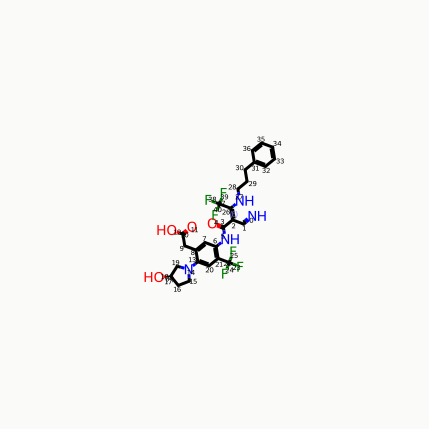 N=C/C(C(=O)Nc1cc(CC(=O)O)c(N2CC[C@@H](O)C2)cc1C(F)(F)F)=C(\NCCCc1ccccc1)C(F)(F)F